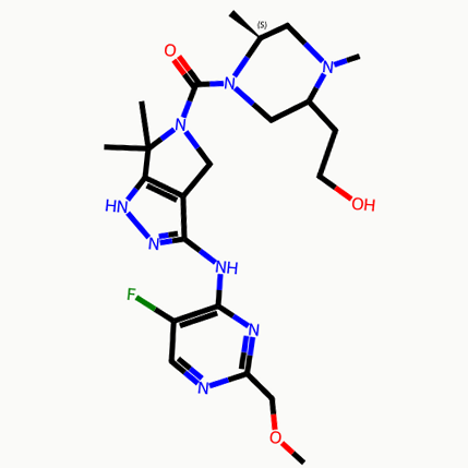 COCc1ncc(F)c(Nc2n[nH]c3c2CN(C(=O)N2CC(CCO)N(C)C[C@@H]2C)C3(C)C)n1